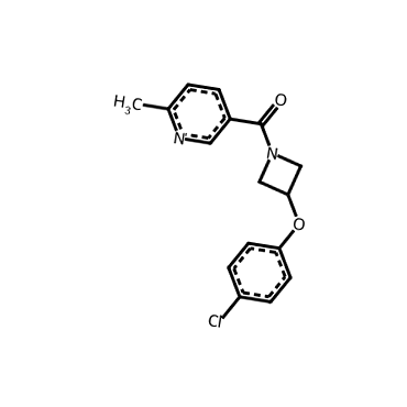 Cc1ccc(C(=O)N2CC(Oc3ccc(Cl)cc3)C2)cn1